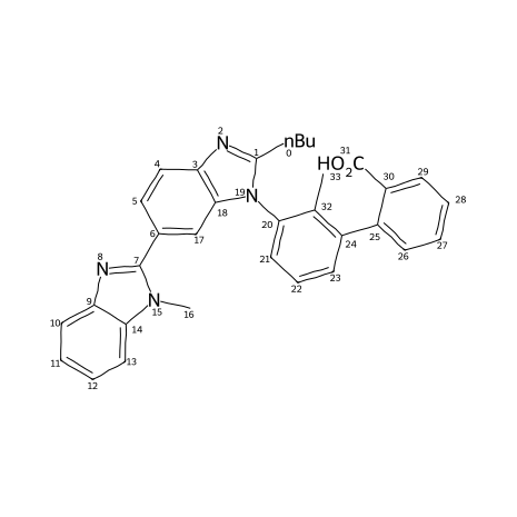 CCCCc1nc2ccc(-c3nc4ccccc4n3C)cc2n1-c1cccc(-c2ccccc2C(=O)O)c1C